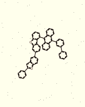 c1ccc(-c2cccc(-c3c4ccccc4c(-c4cccc5oc6cc(-c7ccc8oc(-c9ccccc9)cc8c7)ccc6c45)c4ccccc34)c2)cc1